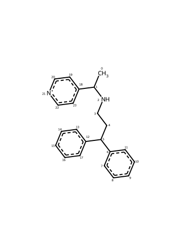 CC(NCCC(c1ccccc1)c1ccccc1)c1ccncc1